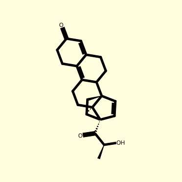 C[C@H](O)C(=O)[C@]12C=C[C@@]3(CC1)C1CCC4=CC(=O)CCC4=C1CC[C@]23C